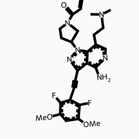 C=CC(=O)N1CCC(n2nc(C#Cc3c(F)c(OC)cc(OC)c3F)c3c(N)ncc(CCN(C)C)c32)C1